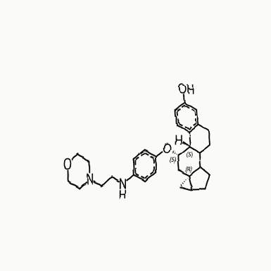 Oc1ccc2c(c1)CCC1C3CCC4C[C@@]43C[C@H](Oc3ccc(NCCN4CCOCC4)cc3)[C@H]21